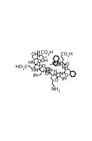 CC(C)C[C@H](NC(=O)[C@H](Cc1c[nH]c2ccccc12)NC(=O)[C@H](CCCCN)NC(=O)[C@@H](NC(=O)[C@H](Cc1ccccc1)NC(=O)[C@@H](N)CCC(=O)O)C(C)C)C(=O)N[C@@H](CCC(=O)O)C(=O)N[C@@H](CO)C(=O)N[C@H](C(=O)O)[C@@H](C)O